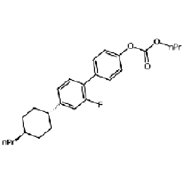 CCCOC(=O)Oc1ccc(-c2ccc([C@H]3CC[C@H](CCC)CC3)cc2F)cc1